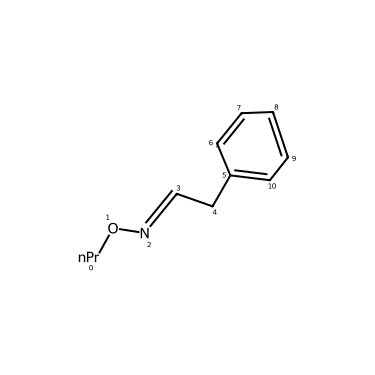 CCCON=CCc1[c]cccc1